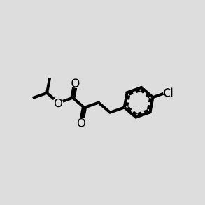 CC(C)OC(=O)C(=O)CCc1ccc(Cl)cc1